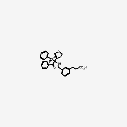 O=C(O)CCc1cccc(CNC(C(=O)c2ccccc2)(C2=COCO2)S(=O)(=O)c2ccccc2)c1